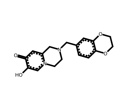 O=c1cc2n(cc1O)CCN(Cc1ccc3c(c1)OCCO3)C2